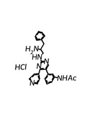 CC(=O)Nc1cccc(-c2cnc(NCC(N)Cc3ccccc3)nc2-c2ccncc2)c1.Cl